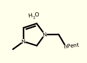 CCCCCCN1C=CN(C)C1.O